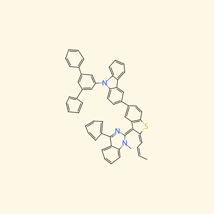 C\C=C/C=c1/sc2ccc(-c3ccc4c(c3)c3ccccc3n4-c3cc(-c4ccccc4)cc(-c4ccccc4)c3)cc2/c1=C1\N=C(c2ccccc2)c2ccccc2N1C